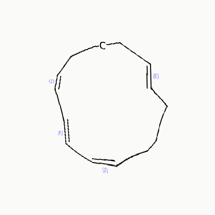 [CH]1/C=C/CCC\C=C/C=C/C=C\CC1